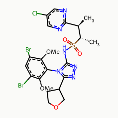 COc1c(Br)cc(Br)c(OC)c1-n1c(NS(=O)(=O)[C@@H](C)[C@H](C)c2ncc(Cl)cn2)nnc1C1CCOC1